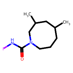 CC1CCCN(C(=O)NI)CC(C)C1